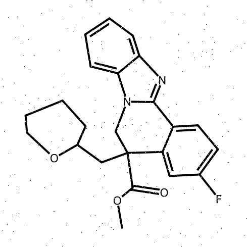 COC(=O)C1(CC2CCCCO2)Cn2c(nc3ccccc32)-c2ccc(F)cc21